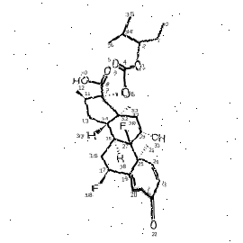 CCC(OC(=O)O[C@@]1(C(=O)O)[C@H](C)C[C@H]2[C@@H]3C[C@H](F)C4=CC(=O)C=C[C@]4(C)C3(F)[C@@H](O)C[C@@]21C)C(C)C